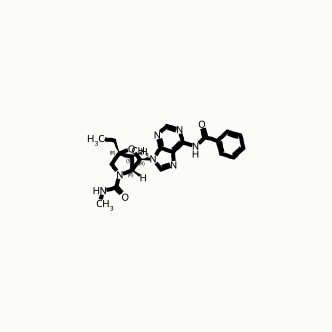 CC[C@@]12CN(C(=O)NC)[C@@H]([C@H](n3cnc4c(NC(=O)c5ccccc5)ncnc43)O1)[C@@H]2C